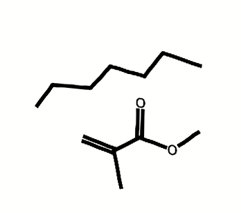 C=C(C)C(=O)OC.CCCCCCC